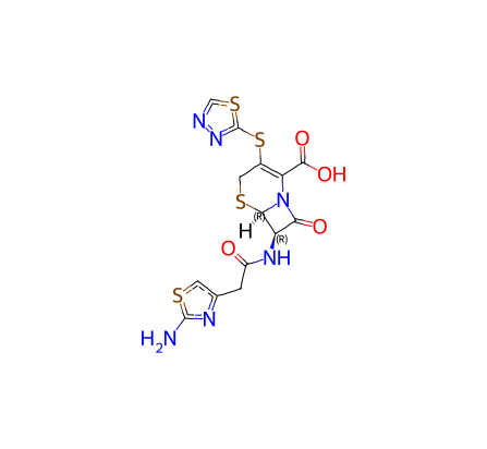 Nc1nc(CC(=O)N[C@@H]2C(=O)N3C(C(=O)O)=C(Sc4nncs4)CS[C@H]23)cs1